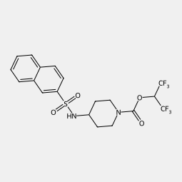 O=C(OC(C(F)(F)F)C(F)(F)F)N1CCC(NS(=O)(=O)c2ccc3ccccc3c2)CC1